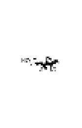 CCC(C(C)C)C(C(C)C)C(C)(O)CCC(=O)O